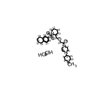 CN1CCC(N2CCN(C(=O)COCC3CCCCN3S(=O)(=O)c3ccc4c(c3)CCCC4)CC2)CC1.Cl.Cl